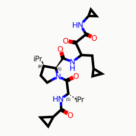 CC(C)[C@H](NC(=O)C1CC1)C(=O)N1CC[C@H](C(C)C)[C@H]1C(=O)NC(CC1CC1)C(=O)C(=O)NC1CC1